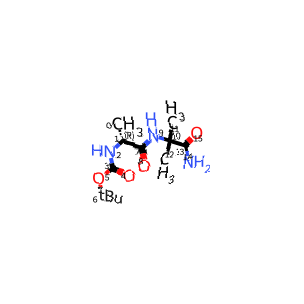 C[C@@H](NC(=O)OC(C)(C)C)C(=O)NC(C)(C)C(N)=O